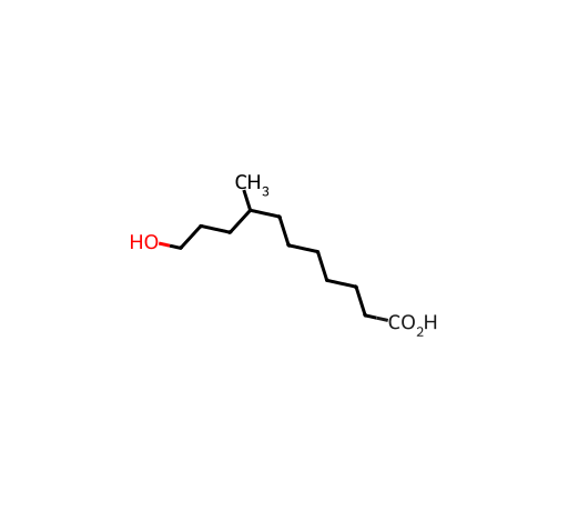 CC(CCCO)CCCCCCC(=O)O